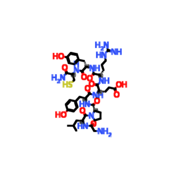 CC(C)C[C@H](NC(=O)CN)C(=O)N1CCC[C@H]1C(=O)N[C@@H](Cc1ccc(O)cc1)C(=O)N[C@@H](CCC(=O)O)C(=O)N[C@@H](CCCNC(=N)N)C(=O)N[C@@H](Cc1ccc(O)cc1)C(=O)N[C@@H](CS)C(N)=O